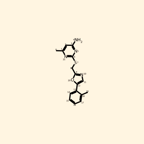 Cc1cc(N)nc(SCc2ncc(-c3ccccc3C)o2)n1